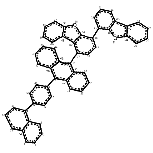 c1ccc2c(-c3ccc(-c4c5ccccc5c(-c5ccc(-c6cccc7c6oc6ccccc67)c6oc7ccccc7c56)c5ccccc45)cc3)cccc2c1